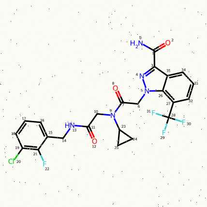 NC(=O)c1nn(CC(=O)N(CC(=O)NCc2cccc(Cl)c2F)C2CC2)c2c(C(F)(F)F)cccc12